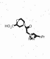 CCCc1cn(CC(=O)N2CCOC(C(=O)O)C2)nn1